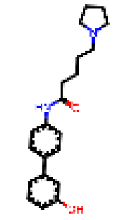 O=C(CCCCN1CCCC1)Nc1ccc(-c2cccc(O)c2)cc1